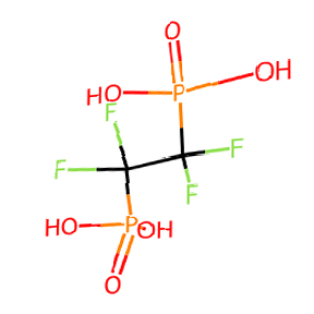 O=P(O)(O)C(F)(F)C(F)(F)P(=O)(O)O